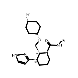 CC(C)NC(=O)N1CCC[C@H](c2cc[nH]n2)[C@@H]1CO[C@H]1CC[C@@H](C(C)C)CC1